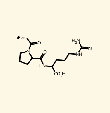 CCCCCC(=O)N1CCCC1C(=O)NC(CCCNC(=N)N)C(=O)O